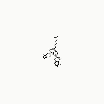 Cc1ccc(OC(=O)N2CCN(C(=O)CCCCCN(C)C)[C@H](C(=O)NCc3cccs3)C2)c(Cl)c1C